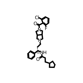 O=C(CCC1CCCC1)N[C@@H](CCN1CC2CN(C(=O)c3c(F)cccc3Cl)CC2C1)c1ccccc1